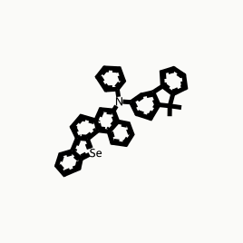 CC1(C)c2ccccc2-c2cc(N(c3ccccc3)c3cc4ccc5c6ccccc6[se]c5c4c4ccccc34)ccc21